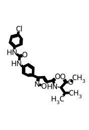 COC(=O)[C@@H](NC(=O)c1cc(-c2ccc(NC(=O)Nc3ccc(Cl)cc3)cc2)no1)C(C)C